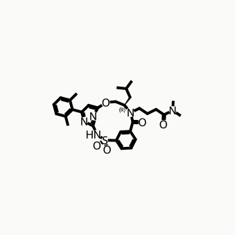 Cc1cccc(C)c1-c1cc2nc(n1)NS(=O)(=O)c1cccc(c1)C(=O)N(CCCC(=O)N(C)C)[C@H](CC(C)C)CO2